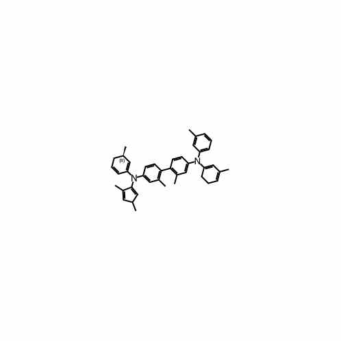 CC1=CCCC(N(c2cccc(C)c2)c2ccc(-c3ccc(N(C4=C[C@H](C)CC=C4)C4=CC(C)C=C4C)cc3C)c(C)c2)=C1